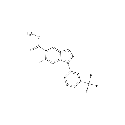 COC(=O)c1cc2cnn(-c3cccc(C(F)(F)F)c3)c2cc1F